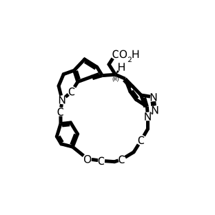 O=C(O)C[C@@H]1c2ccc3c(c2)CN(CC3)Cc2ccc(cc2)OCCCCCCn2nnc3cc1ccc32